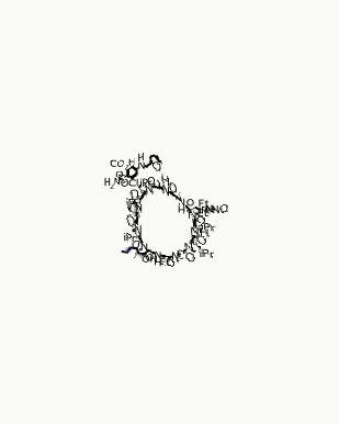 C/C=C/C[C@@H](C)[C@@H](O)[C@H]1C(=O)N[C@@H](CC)C(=O)N(C)CC(=O)N(C)[C@@H](CC(C)C)C(=O)N[C@@H](C(C)C)C(=O)N(C)[C@@H](CC(C)C)C(=O)N[C@@H](C)C(=O)N[C@H](C)C(=O)N(C)[C@@H](CC(C)C)C(=O)N(C)[C@@H](CC(C)C)C(=O)N(C)[C@@H](C(C)C)C(=O)N1C.CCN(CC)N=O.NS(=O)(=O)c1cc(C(=O)O)c(NCc2ccco2)cc1Cl